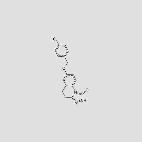 O=c1[nH]nc2n1-c1ccc(OCc3ccc(Cl)cc3)cc1CC2